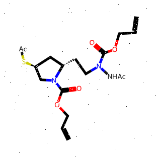 C=CCOC(=O)N(CC[C@H]1C[C@H](SC(C)=O)CN1C(=O)OCC=C)NC(C)=O